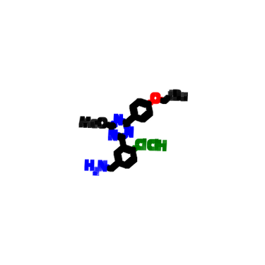 COc1nc(-c2ccc(OCC(C)(C)C)cc2)nc(-c2cc(CN)ccc2Cl)n1.Cl